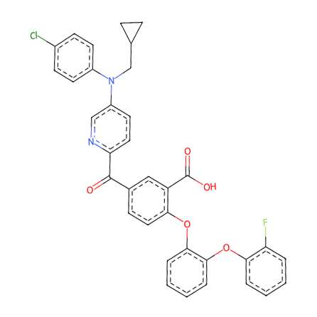 O=C(c1ccc(Oc2ccccc2Oc2ccccc2F)c(C(=O)O)c1)c1ccc(N(CC2CC2)c2ccc(Cl)cc2)cn1